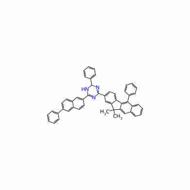 CC1(C)c2cc(C3=NC(c4ccccc4)NC(c4ccc5cc(-c6ccccc6)ccc5c4)=N3)ccc2-c2c1cc1ccccc1c2-c1ccccc1